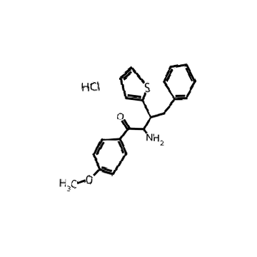 COc1ccc(C(=O)C(N)C(Cc2ccccc2)c2cccs2)cc1.Cl